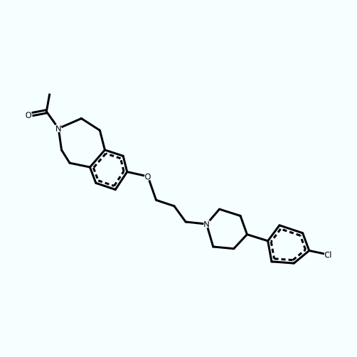 CC(=O)N1CCc2ccc(OCCCN3CCC(c4ccc(Cl)cc4)CC3)cc2CC1